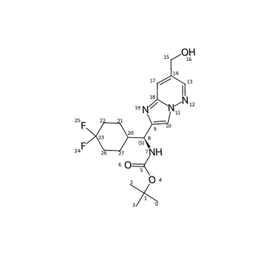 CC(C)(C)OC(=O)N[C@H](c1cn2ncc(CO)cc2n1)C1CCC(F)(F)CC1